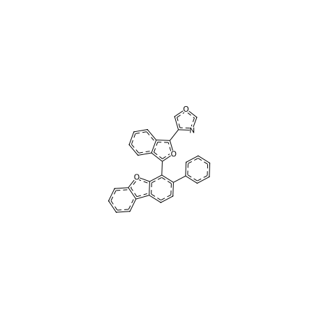 c1ccc(-c2ccc3c(oc4ccccc43)c2-c2oc(-c3cocn3)c3ccccc23)cc1